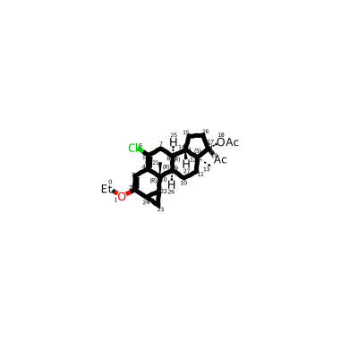 CCOC1=CC2=C(Cl)C[C@@H]3[C@@H](CC[C@@]4(C)[C@H]3CC[C@@]4(OC(C)=O)C(C)=O)[C@]2(C)C2CC12